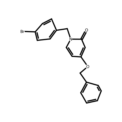 O=c1cc(OCc2ccccc2)ccn1Cc1ccc(Br)cc1